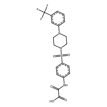 O=C(O)C(=O)Nc1ccc(S(=O)(=O)N2CCN(c3cccc(C(F)(F)F)c3)CC2)cc1